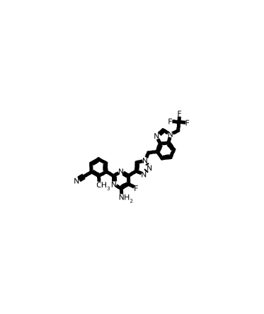 Cc1c(C#N)cccc1-c1nc(N)c(F)c(-c2cn(Cc3cccc4c3ncn4CC(F)(F)F)nn2)n1